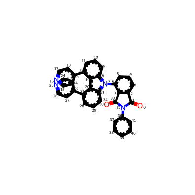 O=C1c2cccc(-n3c4cccc(-c5ccncc5)c4c4c(-c5ccncc5)cccc43)c2C(=O)N1c1ccccc1